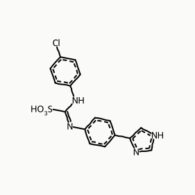 O=S(=O)(O)C(=Nc1ccc(-c2c[nH]cn2)cc1)Nc1ccc(Cl)cc1